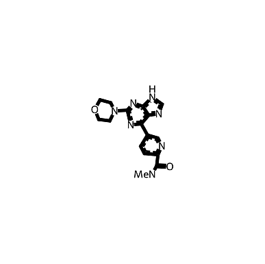 CNC(=O)c1ccc(-c2nc(N3CCOCC3)nc3[nH]cnc23)cn1